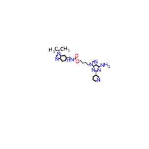 CC(C)n1cnc2ccc(CNC(=O)OCCCCn3cnc4c(N)nc(-c5cccnc5)nc43)cc21